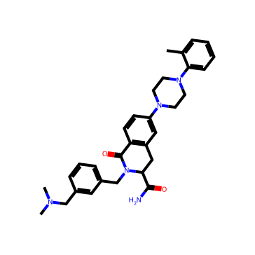 Cc1ccccc1N1CCN(c2[c]cc3c(c2)CC(C(N)=O)N(Cc2cccc(CN(C)C)c2)C3=O)CC1